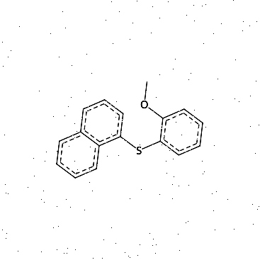 COc1ccccc1Sc1cccc2ccccc12